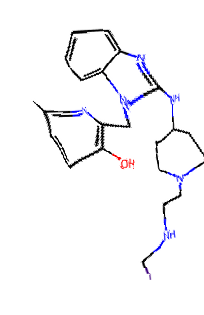 Cc1ccc(O)c(Cn2c(NC3CCN(CCNCI)CC3)nc3ccccc32)n1